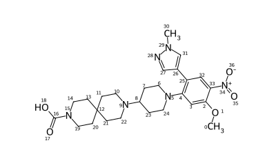 COc1cc(N2CCC(N3CCC4(CCN(C(=O)O)CC4)CC3)CC2)c(-c2cnn(C)c2)cc1[N+](=O)[O-]